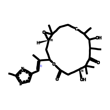 C/C(=C\c1csc(C)n1)C1C[C@H]2OC2(C)CCCC(C)C(O)C(C)C(=O)C(C)(C)[C@@H](O)CC(=O)O1